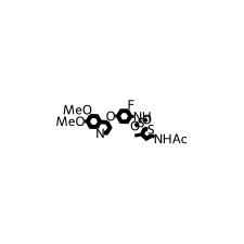 COc1cc2nccc(Oc3ccc(NS(=O)(=O)c4sc(NC(C)=O)cc4C)c(F)c3)c2cc1OC